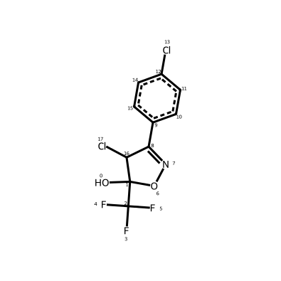 OC1(C(F)(F)F)ON=C(c2ccc(Cl)cc2)C1Cl